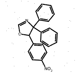 O=[N+]([O-])c1ccc(C2OC=NC2(c2ccccc2)c2ccccc2)cc1